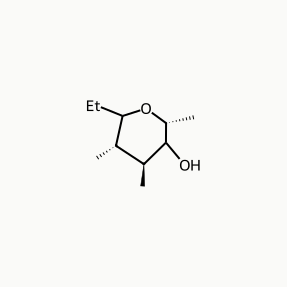 CCC1O[C@H](C)C(O)[C@@H](C)[C@@H]1C